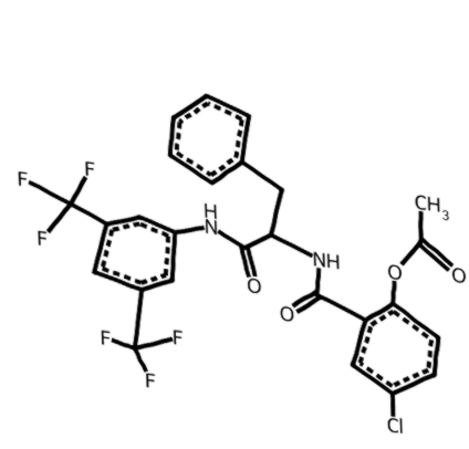 CC(=O)Oc1ccc(Cl)cc1C(=O)NC(Cc1ccccc1)C(=O)Nc1cc(C(F)(F)F)cc(C(F)(F)F)c1